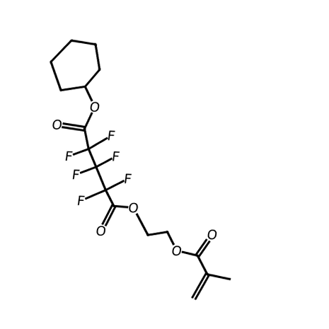 C=C(C)C(=O)OCCOC(=O)C(F)(F)C(F)(F)C(F)(F)C(=O)OC1CCCCC1